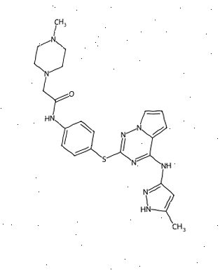 Cc1cc(Nc2nc(Sc3ccc(NC(=O)CN4CCN(C)CC4)cc3)nn3cccc23)n[nH]1